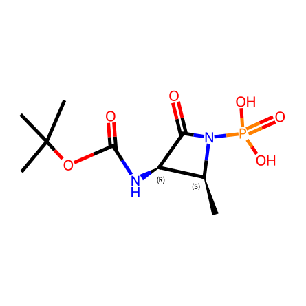 C[C@H]1[C@@H](NC(=O)OC(C)(C)C)C(=O)N1P(=O)(O)O